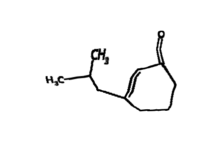 CC(C)CC1=CC(=O)CCC1